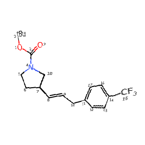 CC(C)(C)OC(=O)N1CCC(C=CCc2ccc(C(F)(F)F)cc2)C1